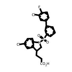 O=C(O)CCC1CN(S(=O)(=O)c2cccc(-c3ccc(F)c(Cl)c3)c2)c2ccc(Cl)cc21